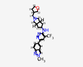 Cn1cc2cc(-c3cc(C(F)(F)F)c(NC4C[C@@H]5CN(CC6CCOC6)C[C@@H]5C4)nn3)ccc2n1